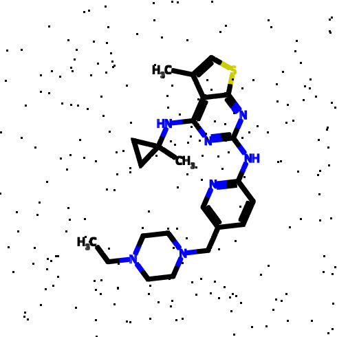 CCN1CCN(Cc2ccc(Nc3nc(NC4(C)CC4)c4c(C)csc4n3)nc2)CC1